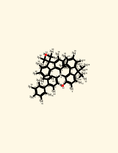 [2H]c1cc(N(c2c([2H])c([2H])c([2H])c3c2-c2c([2H])c([2H])c([2H])c([2H])c2C3(C([2H])([2H])[2H])C([2H])([2H])[2H])c2c([2H])c([2H])c([2H])c3c2-c2c([2H])c([2H])c([2H])c([2H])c2C3(C([2H])([2H])[2H])C([2H])([2H])[2H])c([2H])c([2H])c1-c1c([2H])c([2H])c([2H])c([2H])c1[2H]